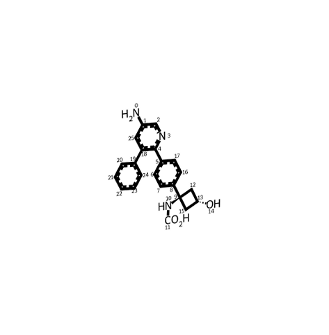 Nc1cnc(-c2ccc([C@]3(NC(=O)O)C[C@H](O)C3)cc2)c(-c2ccccc2)c1